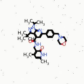 Cc1cc(C)c(CNC(=O)c2cc(-c3ccc(CN4CCOCC4)cc3)nc3c2c(C(C)(C)C)nn3C(C)C)c(=O)[nH]1